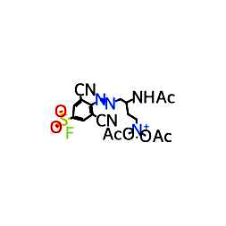 CC(=O)NC(CC[N+](OC(C)=O)OC(C)=O)CN=Nc1c(C#N)cc(S(=O)(=O)F)cc1C#N